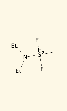 CCN(CC)[SH2](F)(F)F